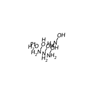 NO.NO.NO.NO.O.[Pt]